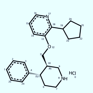 Cl.c1ccc([C@H]2CCNC[C@@H]2COc2cccnc2C2CCCC2)cc1